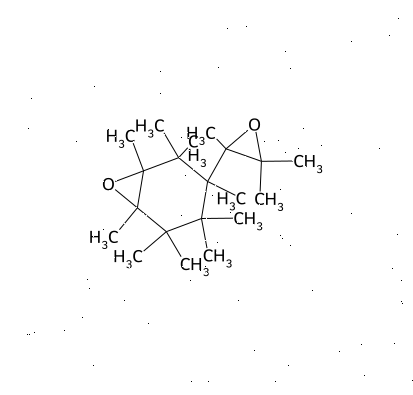 CC1(C)OC1(C)C1(C)C(C)(C)C(C)(C)C2(C)OC2(C)C1(C)C